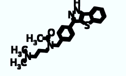 CC(=O)N(CCCN(C)C)Cc1ccc(-c2n[nH]c3c2sc2ccccc23)cc1